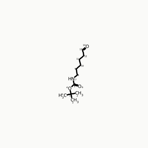 CC(C)(C)OC(=O)NCCCCC[C]=O